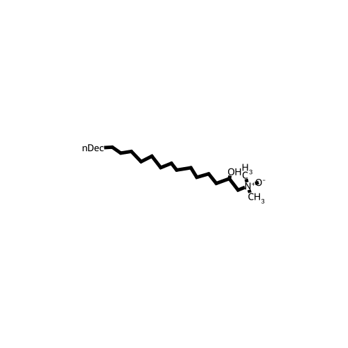 CCCCCCCCCCCCCCCCCCCCCCC(O)C[N+](C)(C)[O-]